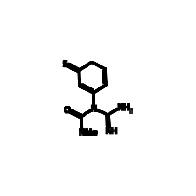 CNC(=O)N(C(=N)N)C1=CC(=S)CC=C1